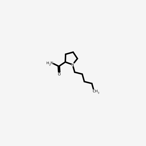 CCCCCN1CCCC1C(N)=O